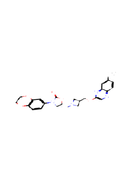 COc1ccc2ncc(OCC3CN(C[C@@H]4CN(c5ccc6c(c5)OCCO6)C(=O)O4)C3)nc2c1